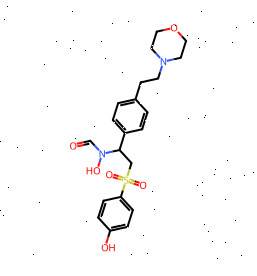 O=CN(O)C(CS(=O)(=O)c1ccc(O)cc1)c1ccc(CCN2CCOCC2)cc1